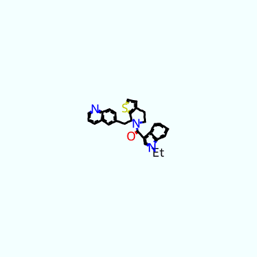 CCn1cc(C(=O)N2CCc3ccsc3C2Cc2ccc3ncccc3c2)c2ccccc21